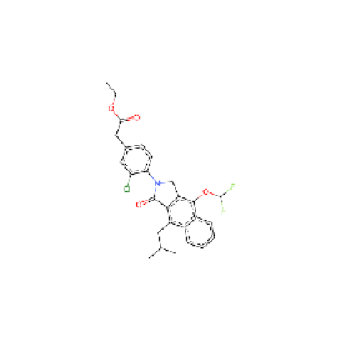 CCOC(=O)Cc1ccc(N2Cc3c(c(CC(C)C)c4ccccc4c3OC(F)F)C2=O)c(Cl)c1